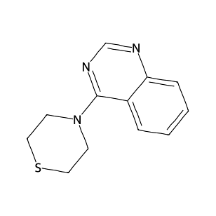 c1ccc2c(N3CCSCC3)ncnc2c1